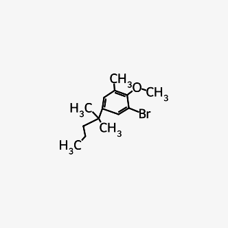 CCCC(C)(C)c1cc(C)c(OC)c(Br)c1